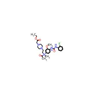 CCOC(=O)CN1CCN(CC[N+](C)(C(C)=O)c2ccc(NC(=O)Nc3ccccc3F)c(OC)c2)CC1